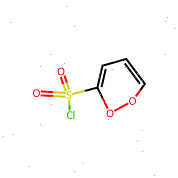 O=S(=O)(Cl)C1=CC=COO1